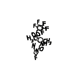 CC1(NCC(=O)N2C[C@@H](F)C[C@H]2C#N)CCC(C)(C(=O)OCc2c(F)c(F)c(F)c(F)c2F)CC1